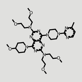 COCCN(CCOC)c1nc(N2CCN(c3nccc(C)n3)CC2)c2nc(N(CCOC)CCOC)nc(N3CCC(OC)CC3)c2n1